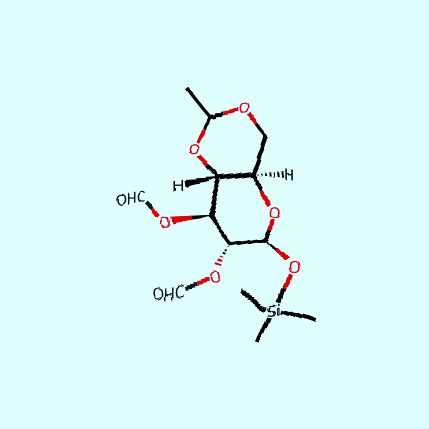 CC1OC[C@H]2O[C@@H](O[Si](C)(C)C)[C@H](OC=O)[C@@H](OC=O)[C@@H]2O1